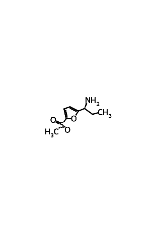 CC[C@H](N)c1ccc(S(C)(=O)=O)o1